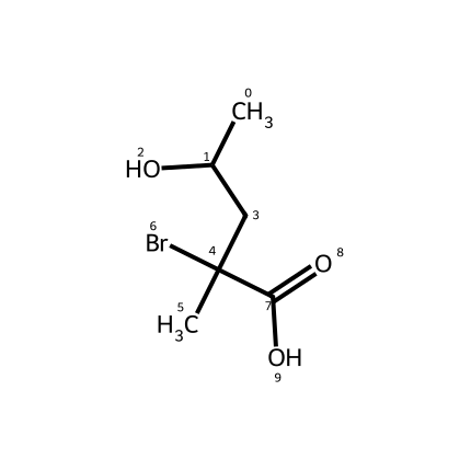 CC(O)CC(C)(Br)C(=O)O